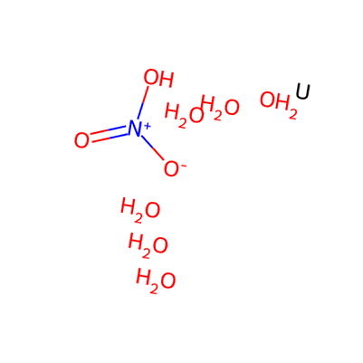 O.O.O.O.O.O.O=[N+]([O-])O.[U]